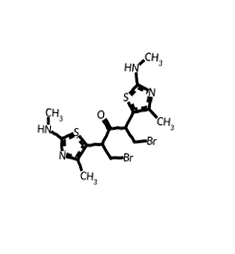 CNc1nc(C)c(C(CBr)C(=O)C(CBr)c2sc(NC)nc2C)s1